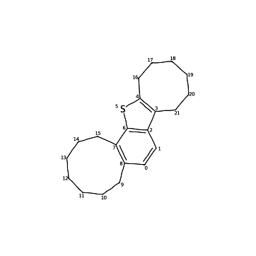 c1cc2c3c(sc2c2c1CCCCCCC2)CCCCCC3